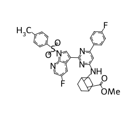 COC(=O)C1C2CCC(CC2)C1Nc1cc(-c2ccc(F)cc2)nc(-c2cn(S(=O)(=O)c3ccc(C)cc3)c3ncc(F)cc23)n1